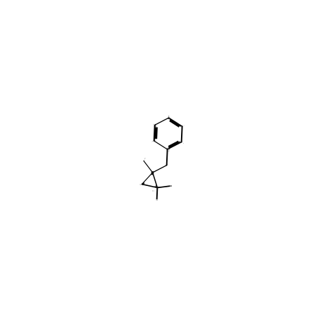 CC1(Cc2ccccc2)CC1(F)F